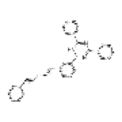 C(=C\c1ccccc1)/C/C=C/c1cccc(C2N=C(c3ccccc3)N=C(c3ccccc3)N2)c1